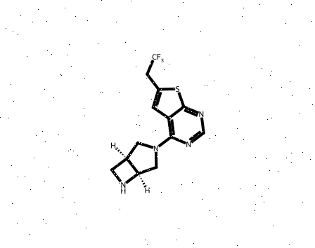 FC(F)(F)Cc1cc2c(N3C[C@@H]4CN[C@@H]4C3)ncnc2s1